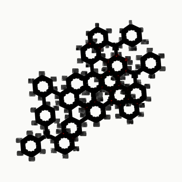 c1ccc(N(c2ccccc2)c2ccc(-c3ccccc3-c3cc(-c4ccccc4-c4ccc(N(c5ccccc5)c5ccccc5)cc4)c4ccc5c(-c6ccccc6-c6ccc(N(c7ccccc7)c7ccccc7)cc6)cc(-c6ccccc6-c6ccc(N(c7ccccc7)c7ccccc7)cc6)c6ccc3c4c65)cc2)cc1